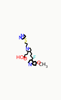 COc1ccc2nccc([C@@H](F)CCC3CCN(CCCSc4ccnnc4)CC3CCC(=O)O)c2c1